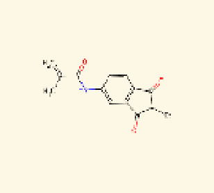 C=C(C)C(=O)Nc1ccc2c(c1)C(=O)C(CC)C2=O